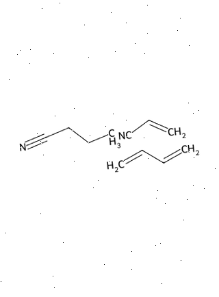 C=CC#N.C=CC=C.CCCC#N